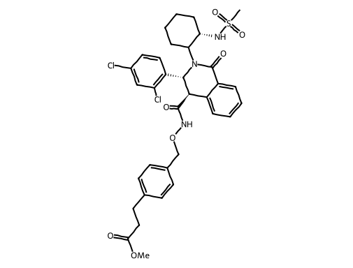 COC(=O)CCc1ccc(CONC(=O)[C@@H]2c3ccccc3C(=O)N(C3CCCC[C@@H]3NS(C)(=O)=O)[C@H]2c2ccc(Cl)cc2Cl)cc1